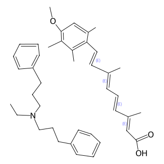 CCN(CCCc1ccccc1)CCCc1ccccc1.COc1cc(C)c(/C=C/C(C)=C/C=C/C(C)=C/C(=O)O)c(C)c1C